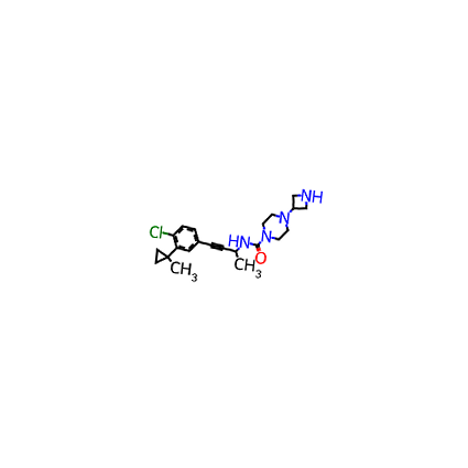 CC(C#Cc1ccc(Cl)c(C2(C)CC2)c1)NC(=O)N1CCN(C2CNC2)CC1